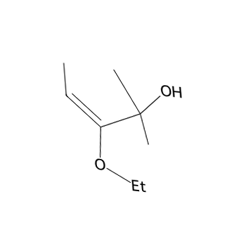 CC=C(OCC)C(C)(C)O